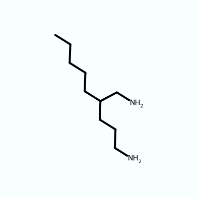 CCCCCC(CN)CCCN